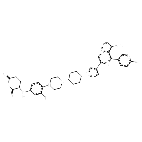 N#Cc1cnn2cc(-c3cnn([C@H]4CC[C@@H](N5CCN(c6ccc(NC7CCC(=O)NC7=O)cc6F)CC5)CC4)c3)nc(-c3ccc(F)nc3)c12